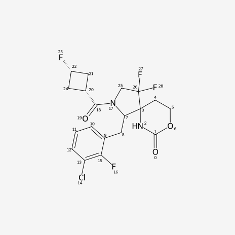 O=C1NC2(CCO1)C(Cc1cccc(Cl)c1F)N(C(=O)[C@H]1C[C@@H](F)C1)CC2(F)F